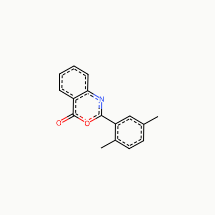 Cc1ccc(C)c(-c2nc3ccccc3c(=O)o2)c1